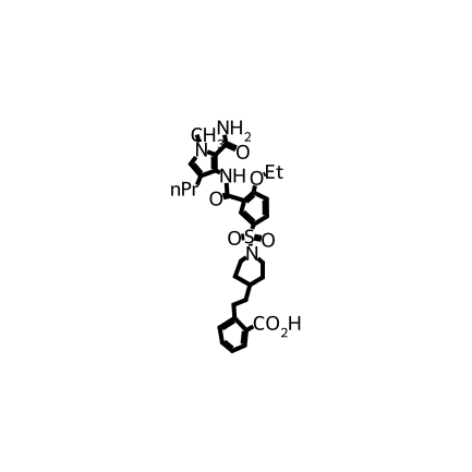 CCCc1cn(C)c(C(N)=O)c1NC(=O)c1cc(S(=O)(=O)N2CCC(CCc3ccccc3C(=O)O)CC2)ccc1OCC